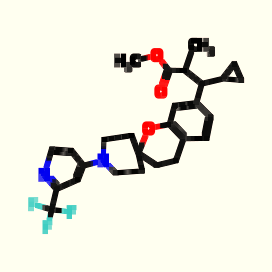 COC(=O)C(C)C(c1ccc2c(c1)OC1(CC2)CCN(c2ccnc(C(F)(F)F)c2)CC1)C1CC1